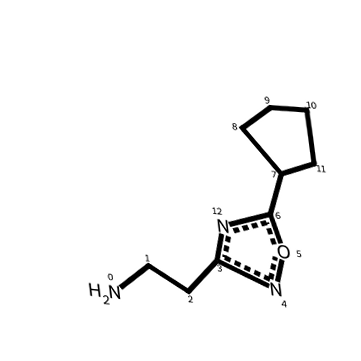 NCCc1noc(C2CCCC2)n1